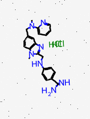 CN(Cc1ccc2c(c1)nc(CNc1ccc(C(=N)N)cc1)n2C)c1ccccn1.Cl.Cl